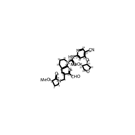 CO[C@H]1CCN(Cc2cc3c(nc2C=O)N(C(=O)Nc2cc(O[C@H]4COC[C@@H]4OC)c(C#N)cn2)CCC3)C1=O